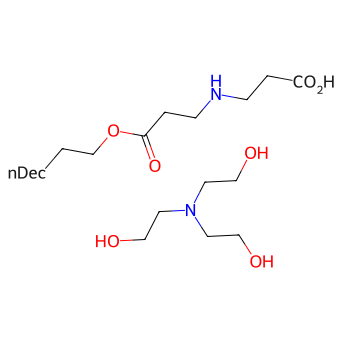 CCCCCCCCCCCCOC(=O)CCNCCC(=O)O.OCCN(CCO)CCO